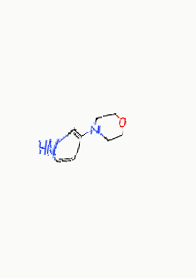 c1cc(N2CCOCC2)c[nH]1